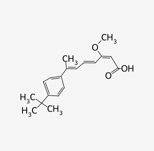 COC(/C=C/C=C(\C)c1ccc(C(C)(C)C)cc1)=C/C(=O)O